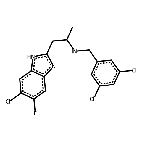 CC(Cc1nc2cc(F)c(Cl)cc2[nH]1)NCc1cc(Cl)cc(Cl)c1